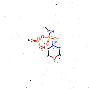 C1COCCN1.CNP(=O)(O)O[PH](=O)O